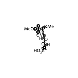 COc1ccc(C(OC[C@@H]2C[C@@H](OC)CN2C(=O)CCCCCNC(=O)CCC(=O)Nc2cc(C)c(C(=O)O)c(C)c2)(c2ccccc2)c2ccc(OC)cc2)cc1